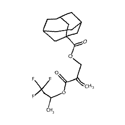 C=C(COC(=O)C12CC3CC(CC(C3)C1)C2)C(=O)OC(C)C(F)(F)F